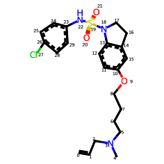 C=CCN(C)CCCCOc1ccc2c(c1)CCN2S(=O)(=O)Nc1ccc(Cl)cc1